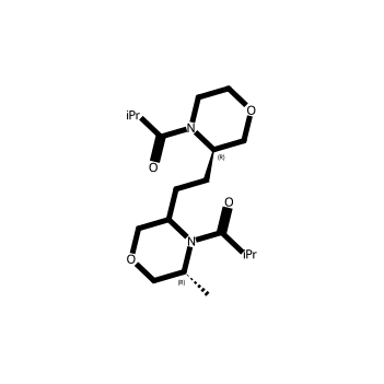 CC(C)C(=O)N1CCOC[C@H]1CCC1COC[C@@H](C)N1C(=O)C(C)C